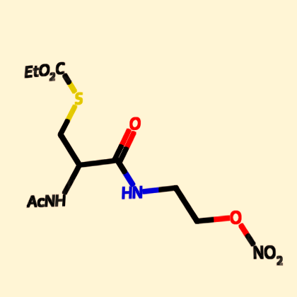 CCOC(=O)SCC(NC(C)=O)C(=O)NCCO[N+](=O)[O-]